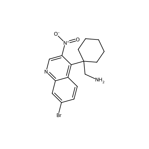 NCC1(c2c([N+](=O)[O-])cnc3cc(Br)ccc23)CCCCC1